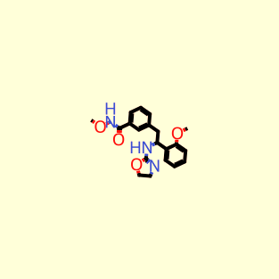 CONC(=O)c1cccc(CC(NC2=NCCO2)c2ccccc2OC)c1